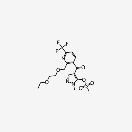 CCOCCOCc1nc(C(F)(F)F)ccc1C(=O)c1cnn(C)c1OS(C)(=O)=O